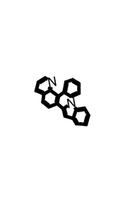 c1cnc2c(c1)ccc1c2c2ccccc2n2c3ccccc3cc12